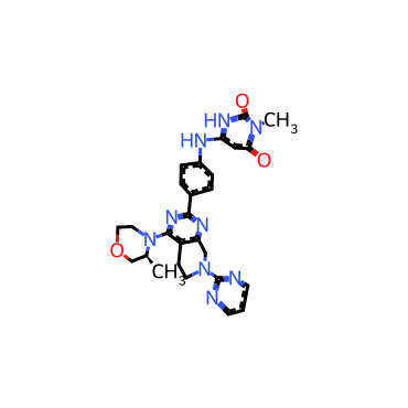 C[C@H]1COCCN1c1nc(-c2ccc(Nc3cc(=O)n(C)c(=O)[nH]3)cc2)nc2c1CCN(c1ncccn1)C2